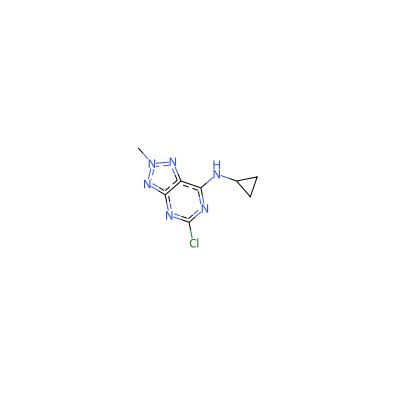 Cn1nc2nc(Cl)nc(NC3CC3)c2n1